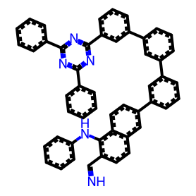 N=Cc1ccc2cc(-c3cccc(-c4cccc(-c5cccc(-c6nc(-c7ccccc7)nc(-c7ccccc7)n6)c5)c4)c3)ccc2c1Nc1ccccc1